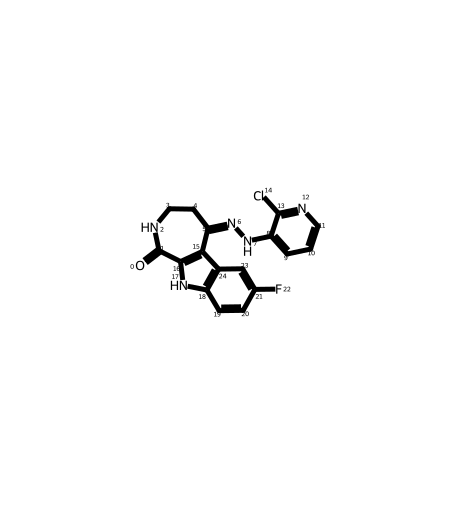 O=C1NCC/C(=N/Nc2cccnc2Cl)c2c1[nH]c1ccc(F)cc21